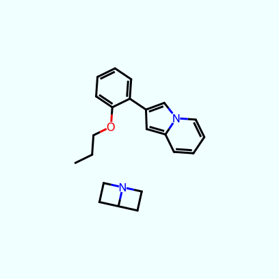 C1CN2CCC12.CCCOc1ccccc1-c1cc2ccccn2c1